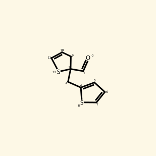 O=CC1(Cc2cccs2)CC=CS1